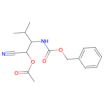 CC(=O)OC(C#N)C(NC(=O)OCc1ccccc1)C(C)C